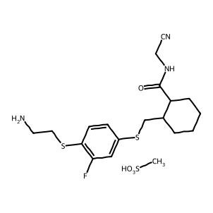 CS(=O)(=O)O.N#CCNC(=O)C1CCCCC1CSc1ccc(SCCN)c(F)c1